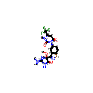 COC1(c2nsc3ccc(-n4c(=O)cc(C(F)(F)F)n(C)c4=O)cc23)N=C(N(C)C)NC1=O